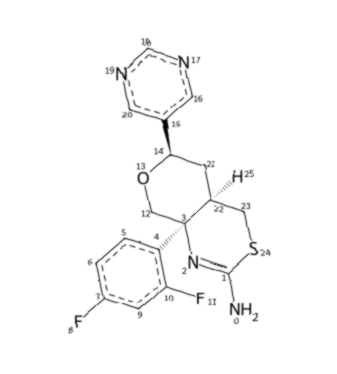 NC1=N[C@@]2(c3ccc(F)cc3F)CO[C@@H](c3cncnc3)C[C@H]2CS1